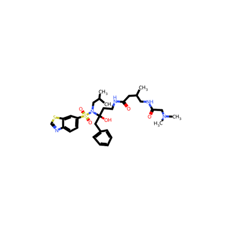 CC(C)CN(C(O)(CCNC(=O)CC(C)CNC(=O)CN(C)C)Cc1ccccc1)S(=O)(=O)c1ccc2ncsc2c1